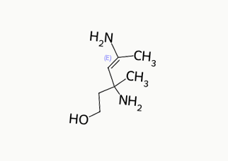 C/C(N)=C\C(C)(N)CCO